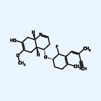 C#C/C(C)=C\C1=C(C)CC[C@H](O[C@H]2CC=N[C@H]3CC(O)=C(OC)C[C@H]32)C1F